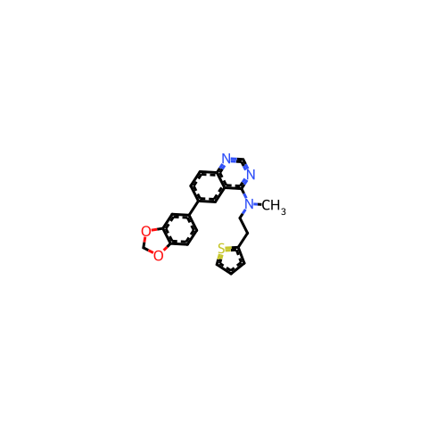 CN(CCc1cccs1)c1ncnc2ccc(-c3ccc4c(c3)OCO4)cc12